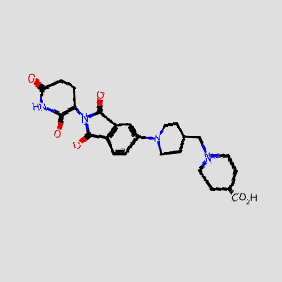 O=C1CCC(N2C(=O)c3ccc(N4CCC(CN5CCC(C(=O)O)CC5)CC4)cc3C2=O)C(=O)N1